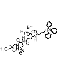 CCOC(=O)CNC(=O)C(CSN=O)NC(=O)CCC(NC(=O)CCCC[P+](c1ccccc1)(c1ccccc1)c1ccccc1)C(=O)OC.[Br-]